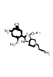 COc1cc(N)c(Cl)cc1C(=O)N[C@@H]1CCN(CCN)C[C@@H]1OC